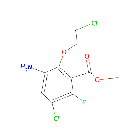 COC(=O)c1c(F)c(Cl)cc(N)c1OCCCl